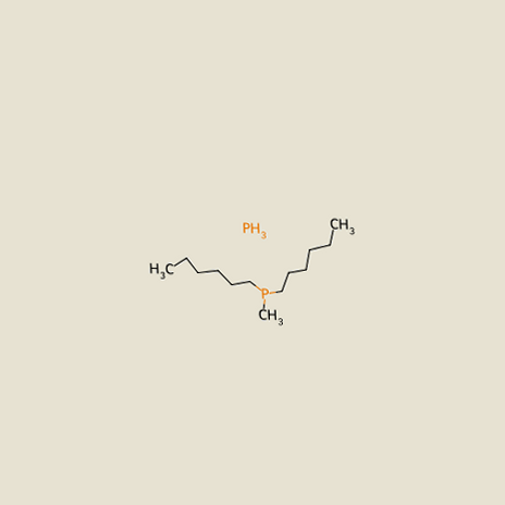 CCCCCCP(C)CCCCCC.P